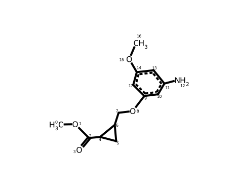 COC(=O)C1CC1COc1cc(N)cc(OC)c1